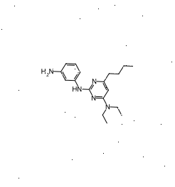 CCCCc1cc(N(CC)CC)nc(Nc2cccc(N)c2)n1